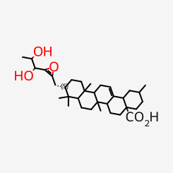 CC1CCC2(C(=O)O)CCC3C(=CCC4C3(C)CCC3C4(C)CC[C@@H](CC4=C(C(O)C(C)O)O4)C3(C)C)C2C1